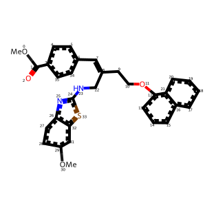 COC(=O)c1ccc(C=C(CCOc2cccc3ccccc23)CNc2nc3ccc(OC)cc3s2)cc1